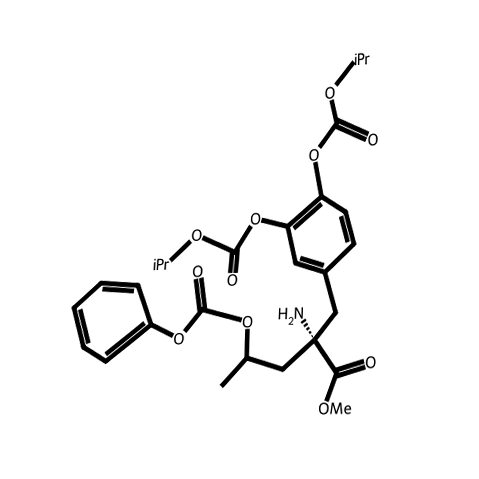 COC(=O)[C@](N)(Cc1ccc(OC(=O)OC(C)C)c(OC(=O)OC(C)C)c1)CC(C)OC(=O)Oc1ccccc1